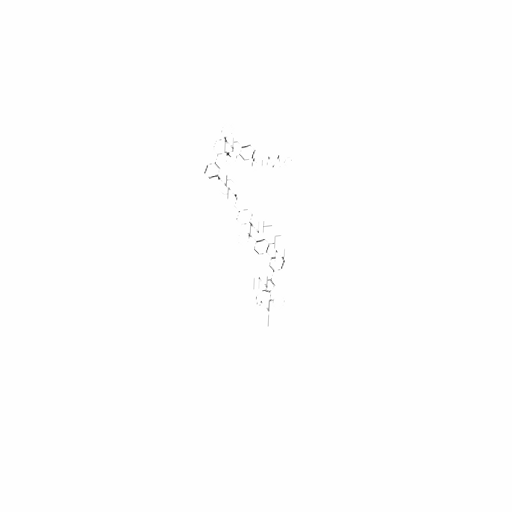 COc1ccc(CN2C(=O)CCC(c3cccc(N4CCN(CCC5CCC(NC(=O)c6ccc(-c7cc(-c8cc9c([nH]8)CCNC9=O)ccn7)c(F)c6)CC5)CC4)c3)C2=O)cc1